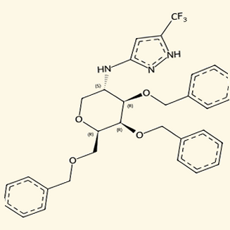 FC(F)(F)c1cc(N[C@H]2CO[C@H](COCc3ccccc3)[C@H](OCc3ccccc3)[C@@H]2OCc2ccccc2)n[nH]1